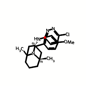 COc1ccc(CN2C3(C)CCC[C@@]2(C)C[C@@H](Nc2ccc(Cl)nn2)C3)cc1